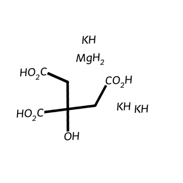 O=C(O)CC(O)(CC(=O)O)C(=O)O.[KH].[KH].[KH].[MgH2]